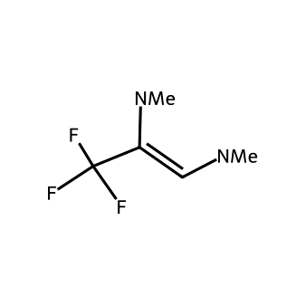 CN/C=C(\NC)C(F)(F)F